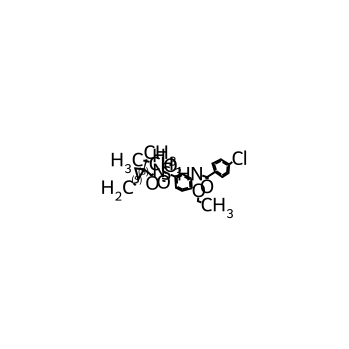 C=C[C@@H]1C[C@@]1(C(=O)NS(=O)(=O)c1ccc(OCC)c(NC(=O)c2ccc(Cl)cc2)c1)C(C)(C)C